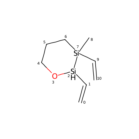 C=C[SiH]1OCCC[Si]1(C)C=C